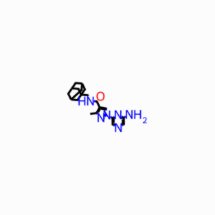 Cc1nn(-c2cncc(N)n2)cc1C(=O)NCC12CC3CC(CC(C3)C1)C2